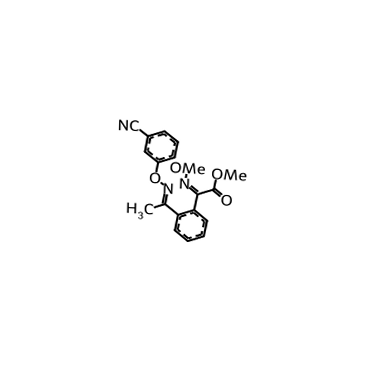 CON=C(C(=O)OC)c1ccccc1C(C)=NOc1cccc(C#N)c1